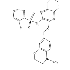 CN1CCOc2cc(COc3nc4c(nc3NS(=O)(=O)c3ccccc3Cl)CCCC4)ccc21